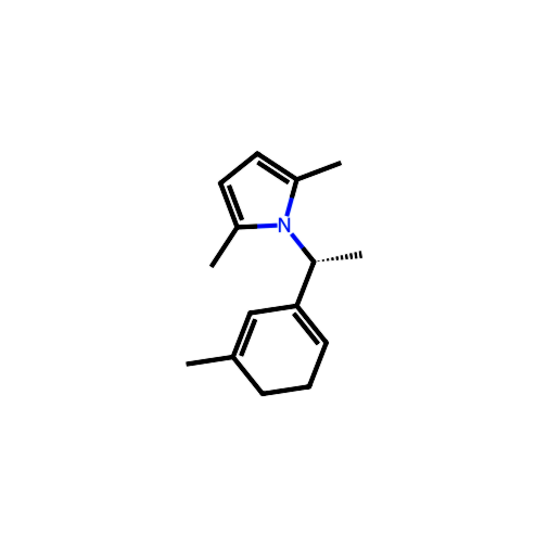 CC1=CC([C@@H](C)n2c(C)ccc2C)=CCC1